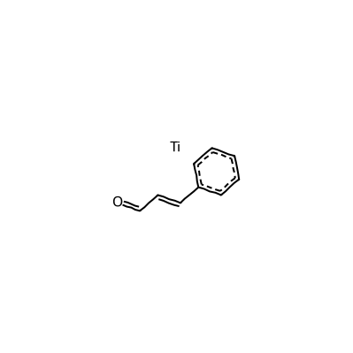 O=CC=Cc1ccccc1.[Ti]